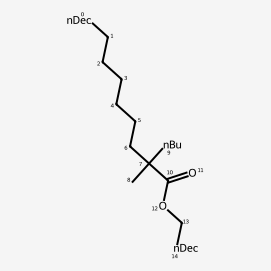 CCCCCCCCCCCCCCCCC(C)(CCCC)C(=O)OCCCCCCCCCCC